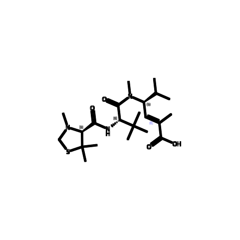 C/C(=C\[C@H](C(C)C)N(C)C(=O)[C@@H](NC(=O)[C@@H]1N(C)CSC1(C)C)C(C)(C)C)C(=O)O